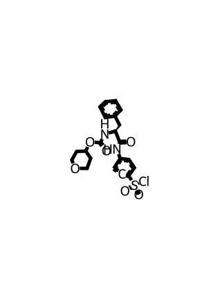 O=C(N[C@@H](Cc1ccccc1)C(=O)Nc1ccc(S(=O)(=O)Cl)cc1)OC1CCOCC1